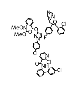 COC(=O)N(OC)c1ccccc1COc1ccn(-c2ccc(Cl)cc2)n1.Fc1ccc(C2(Cn3cncn3)OC2c2ccccc2Cl)cc1.O=C(Nc1ccccc1-c1ccc(Cl)cc1)c1cccnc1Cl